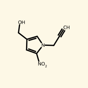 C#CCn1cc(CO)cc1[N+](=O)[O-]